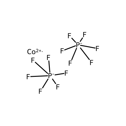 F[P-](F)(F)(F)(F)F.F[P-](F)(F)(F)(F)F.[Co+2]